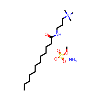 CCCCCCCCCCCC(=O)NCCC[N+](C)(C)C.COS(=O)(=O)[O-].N